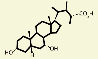 CC([C@@H](C)[C@@H](C)C(=O)O)[C@H]1CCC2C3C(CC[C@@]21C)[C@@]1(C)CC[C@@H](O)C[C@H]1C[C@H]3O